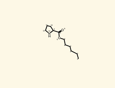 CCCCCCOC(=O)C1CCCN1